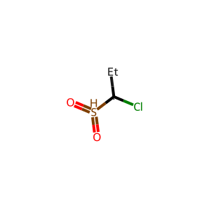 CC[C](Cl)[SH](=O)=O